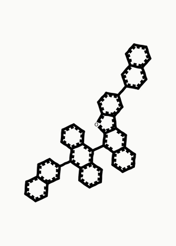 c1ccc2cc(-c3ccc4oc5c(-c6c7ccccc7c(-c7ccc8ccccc8c7)c7ccccc67)c6ccccc6cc5c4c3)ccc2c1